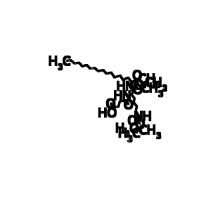 CCCCCCCCCCCCCCCCC(NC(=O)C(CCCCNC(=O)OC(C)(C)C)NC(=O)CCC(=O)O)C(=O)OC(C)(C)C